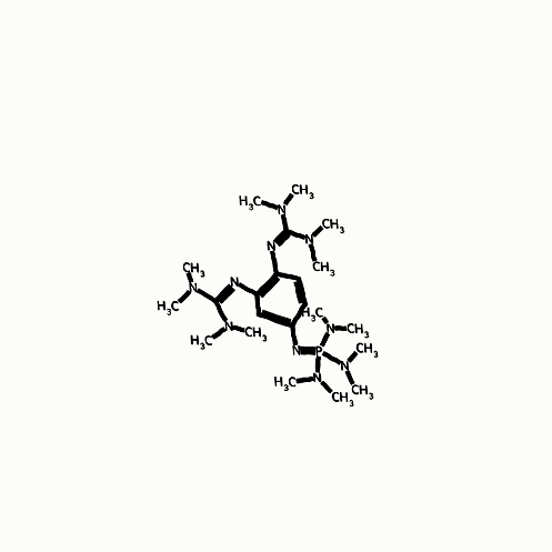 CN(C)C(=Nc1ccc(N=P(N(C)C)(N(C)C)N(C)C)cc1N=C(N(C)C)N(C)C)N(C)C